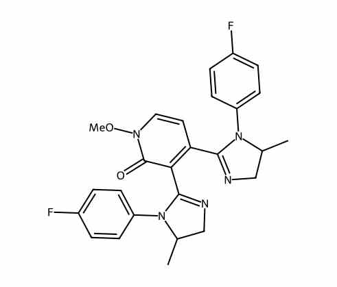 COn1ccc(C2=NCC(C)N2c2ccc(F)cc2)c(C2=NCC(C)N2c2ccc(F)cc2)c1=O